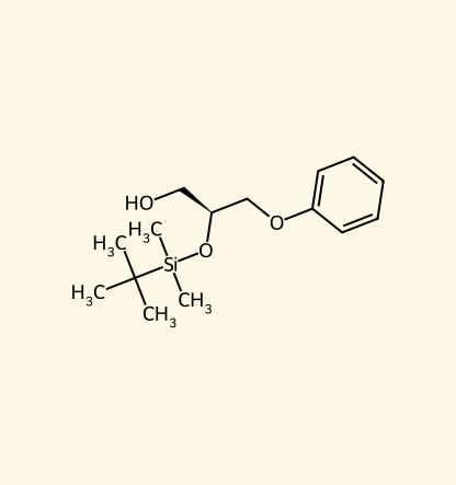 CC(C)(C)[Si](C)(C)O[C@@H](CO)COc1ccccc1